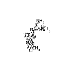 Cc1c(Cl)ccc(S(=O)(=O)C(Cc2ccccc2)NCC(=O)NCC(=O)N(CCCCN)CCCN(C)C)c1Cl